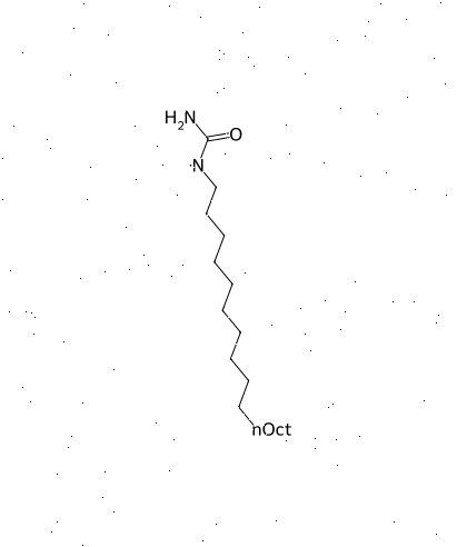 CCCCCCCCCCCCCCCCCC[N]C(N)=O